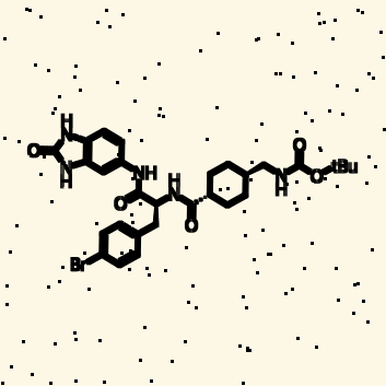 CC(C)(C)OC(=O)NC[C@H]1CC[C@H](C(=O)N[C@@H](Cc2ccc(Br)cc2)C(=O)Nc2ccc3[nH]c(=O)[nH]c3c2)CC1